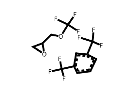 FC(F)(F)OCC1CO1.FC(F)(F)c1cccc(C(F)(F)F)c1